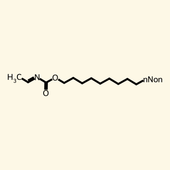 CC=NC(=O)OCCCCCCCCCCCCCCCCCC